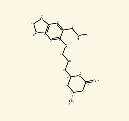 CNCc1cc2c(cc1OCCCC1C[C@@H](O)CC(=O)O1)OCO2